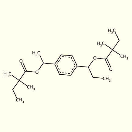 CCC(OC(=O)C(C)(C)CC)c1ccc(C(C)OC(=O)C(C)(C)CC)cc1